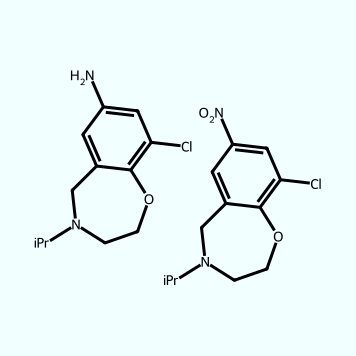 CC(C)N1CCOc2c(Cl)cc(N)cc2C1.CC(C)N1CCOc2c(Cl)cc([N+](=O)[O-])cc2C1